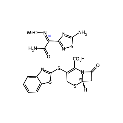 CO/N=C(\C(N)=O)c1nsc(N)n1.O=C(O)C1=C(Sc2nc3ccccc3s2)CS[C@H]2CC(=O)N12